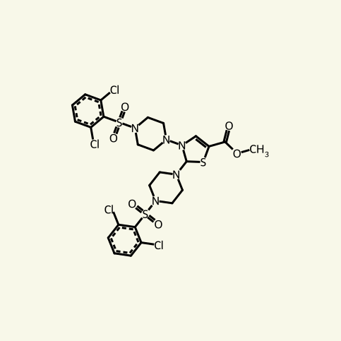 COC(=O)C1=CN(N2CCN(S(=O)(=O)c3c(Cl)cccc3Cl)CC2)C(N2CCN(S(=O)(=O)c3c(Cl)cccc3Cl)CC2)S1